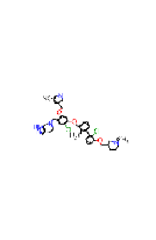 Cc1c(COc2cc(OCc3cncc(C#N)c3)c(CN3CCc4cn[nH]c4C3)cc2Cl)cccc1-c1cccc(OCC2CCCN(C)C2)c1Cl